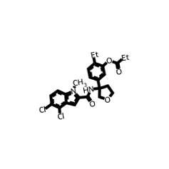 CCC(=O)Oc1cc(C2(NC(=O)c3cc4c(Cl)c(Cl)ccc4n3C)CCOC2)ccc1CC